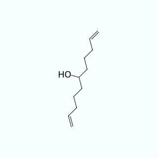 C=CCCCC(O)CCCC=C